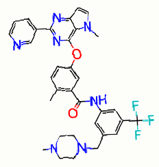 Cc1ccc(Oc2nc(-c3cccnc3)nc3ccn(C)c23)cc1C(=O)Nc1cc(CN2CCN(C)CC2)cc(C(F)(F)F)c1